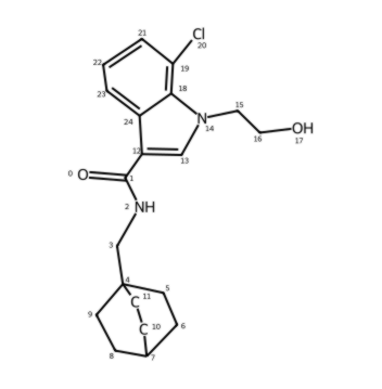 O=C(NCC12CCC(CC1)CC2)c1cn(CCO)c2c(Cl)cccc12